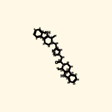 CC1c2[nH]c3ccccc3c2CCN1Cc1cn(CC(=O)N2CCc3c([nH]c4ccccc34)C2C)nn1